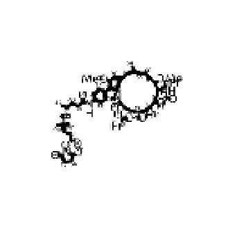 CCCO[C@]12C[C@H](OC(=O)N1)[C@@H](C)[C@@H]1O[C@@]1(C)[C@@H](OC(=O)C(C)C)CC(=O)N(C)c1cc(cc(OC)c1-c1ccc(NC(=O)CCC(C)SSC(C)(C)CCC(=O)ON3C(=O)CCC3=O)cc1)C/C(C)=C/C=C/[C@H]2OC